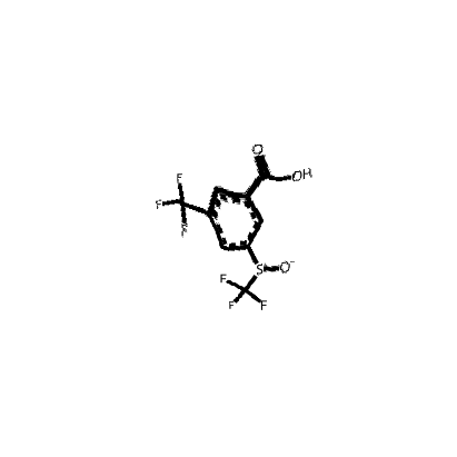 O=C(O)c1cc([S+]([O-])C(F)(F)F)cc(C(F)(F)F)c1